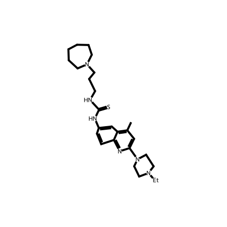 CCN1CCN(c2cc(C)c3cc(NC(=S)NCCCN4CCCCCC4)ccc3n2)CC1